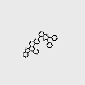 c1ccc(-c2nc3cccc(-c4ccc5c(ccc6c7oc8ccccc8c7c7ccccc7c56)c4)c3nc2-c2ccccc2)cc1